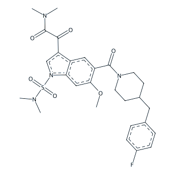 COc1cc2c(cc1C(=O)N1CCC(Cc3ccc(F)cc3)CC1)c(C(=O)C(=O)N(C)C)cn2S(=O)(=O)N(C)C